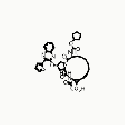 O=C(N[C@@H]1CCCCC/C=C\C2C[C@]2(C(=O)C(=O)O)NC(=O)[C@@H]2C[C@@H](Oc3nc4ccccc4nc3-c3cccs3)CN2C1=O)OC1CCCC1